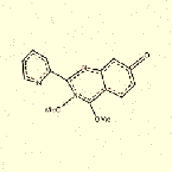 COc1c2ccc(=O)cc-2nc(-c2ccccn2)n1OC